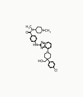 CN1CCC(N(C)C(=O)c2ccc(Nc3nc4c(N5CCC(CO)(c6ccc(Cl)cc6)CC5)cccn4n3)cc2)CC1